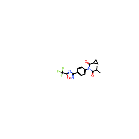 CC(C)C(=O)N(C(=O)C1CC1)c1ccc(-c2noc(C(F)(F)F)n2)cc1